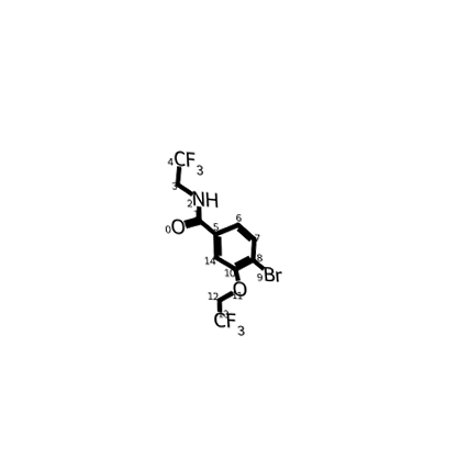 O=C(NCC(F)(F)F)c1ccc(Br)c(OCC(F)(F)F)c1